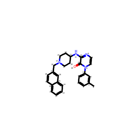 Cc1cccc(-n2ccnc(NC3CCN(Cc4ccc5ccccc5c4)CC3)c2=O)c1